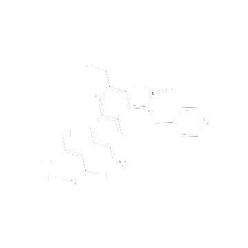 C/N=C(/C)C(=C(C)C)c1cc2nc(CO)c3oc(=O)n(Cc4ccncc4)c3c2cc1OC